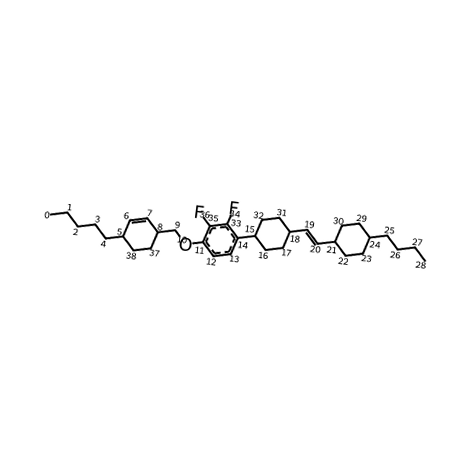 CCCCCC1C=CC(COc2ccc(C3CCC(/C=C/C4CCC(CCCC)CC4)CC3)c(F)c2F)CC1